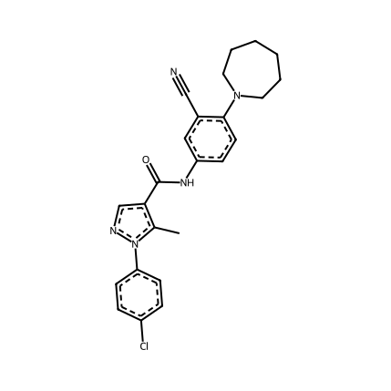 Cc1c(C(=O)Nc2ccc(N3CCCCCC3)c(C#N)c2)cnn1-c1ccc(Cl)cc1